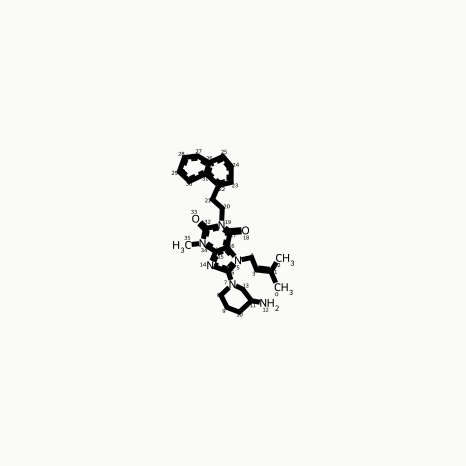 CC(C)=CCn1c(N2CCCC(N)C2)nc2c1c(=O)n(CCc1cccc3ccccc13)c(=O)n2C